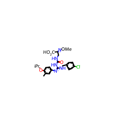 CO/N=C(\CNC(=O)N/C(=N\c1ccc(OC(C)C)c(C)c1)NCc1ccc(Cl)cc1)C(=O)O